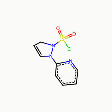 O=S(=O)(Cl)N1CC=CN1c1ccccn1